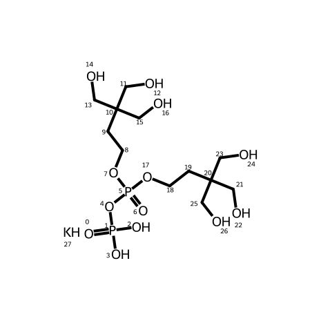 O=P(O)(O)OP(=O)(OCCC(CO)(CO)CO)OCCC(CO)(CO)CO.[KH]